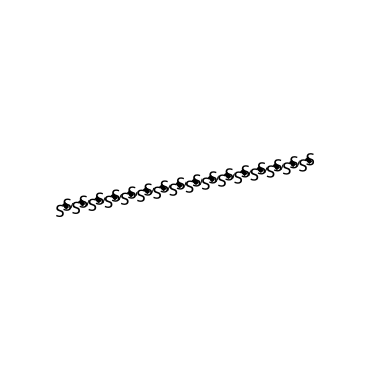 S=S=S=S=S=S=S=S=S=S=S=S=S=S=S=S=S=S=S=S=S=S=S=S=S=S=S=S=S=S=S=S